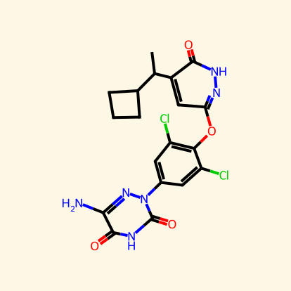 CC(c1cc(Oc2c(Cl)cc(-n3nc(N)c(=O)[nH]c3=O)cc2Cl)n[nH]c1=O)C1CCC1